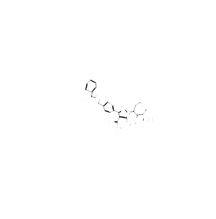 COc1ccccc1C(=O)NCc1ccc(-c2nn(C3CCOC[C@@H](C)C3C)c(N)c2C(N)=O)cc1